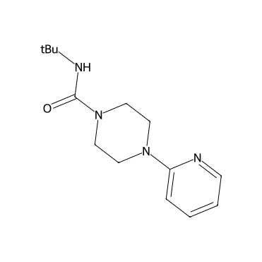 CC(C)(C)NC(=O)N1CCN(c2ccccn2)CC1